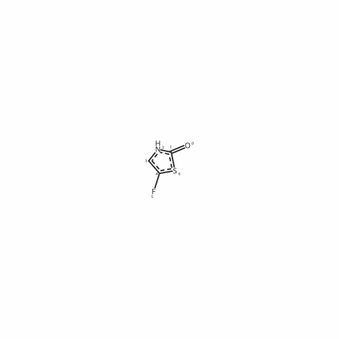 O=c1[nH]cc(F)s1